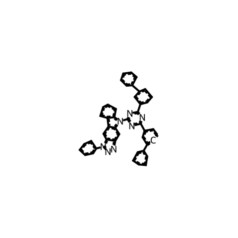 c1ccc(-c2cccc(-c3nc(-c4cccc(-c5ccccc5)c4)nc(-n4c5ccccc5c5cc6c(cc54)nnn6-c4ccccc4)n3)c2)cc1